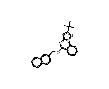 CC(C)(C)c1cc2nc(OCc3ccc4ccccc4c3)c3ccccc3n2n1